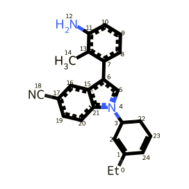 CCC1=CC(n2cc(-c3cccc(N)c3C)c3cc(C#N)ccc32)CC=C1